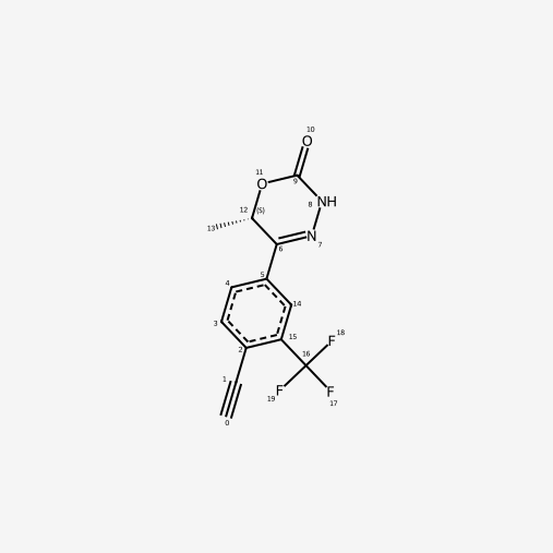 C#Cc1ccc(C2=NNC(=O)O[C@H]2C)cc1C(F)(F)F